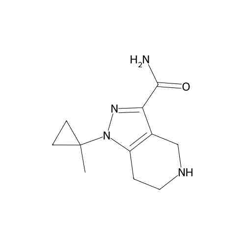 CC1(n2nc(C(N)=O)c3c2CCNC3)CC1